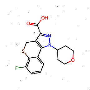 O=C(O)c1nn(C2CCOCC2)c2c1CSc1c(F)cccc1-2